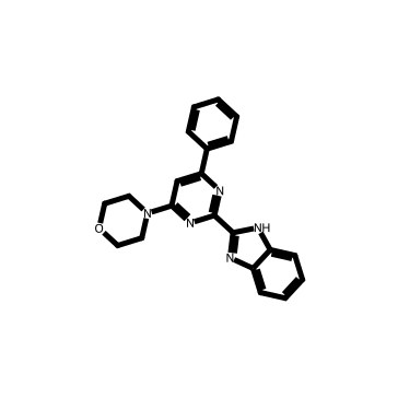 c1ccc(-c2cc(N3CCOCC3)nc(-c3nc4ccccc4[nH]3)n2)cc1